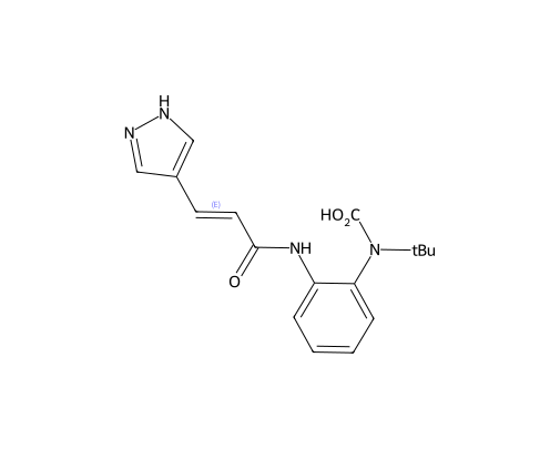 CC(C)(C)N(C(=O)O)c1ccccc1NC(=O)/C=C/c1cn[nH]c1